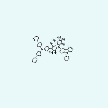 [2H]c1c([2H])c([2H])c2c(c1[2H])c1c([2H])c(-c3ccc(N(c4ccc(-c5ccccc5)cc4)c4ccc(-c5ccccc5)cc4)cc3)c([2H])c([2H])c1n2-c1ccc2c(c1)c1ccccc1n2-c1ccccc1